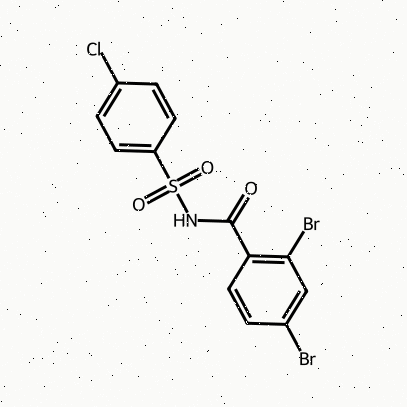 O=C(NS(=O)(=O)c1ccc(Cl)cc1)c1ccc(Br)cc1Br